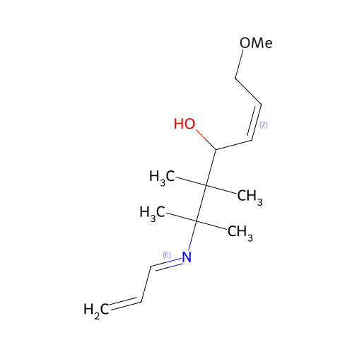 C=C/C=N/C(C)(C)C(C)(C)C(O)/C=C\COC